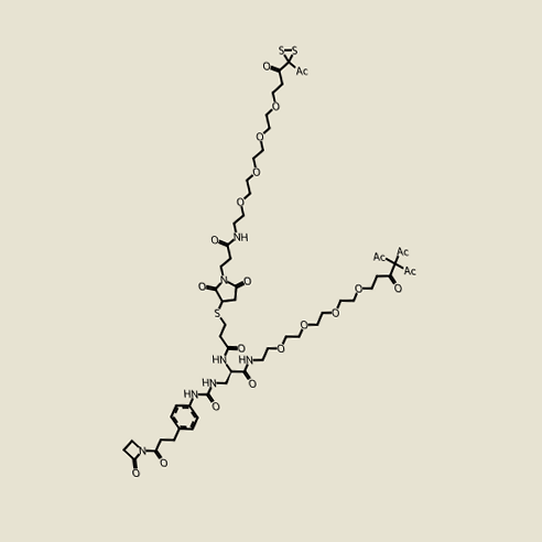 CC(=O)C1(C(=O)CCOCCOCCOCCOCCNC(=O)CCN2C(=O)CC(SCCC(=O)N[C@H](CNC(=O)Nc3ccc(CCC(=O)N4CCC4=O)cc3)C(=O)NCCOCCOCCOCCOCCC(=O)C(C(C)=O)(C(C)=O)C(C)=O)C2=O)SS1